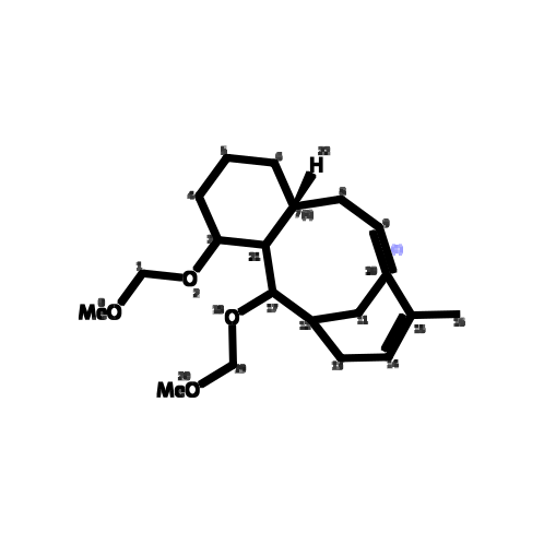 COCOC1CCC[C@@H]2C/C=C3\CC(CC=C3C)C(OCOC)C12